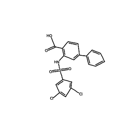 O=C(O)c1ccc(-c2ccccc2)cc1NS(=O)(=O)c1cc(Cl)cc(Cl)c1